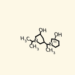 CC(C)N1CC(O)CC(C(C)N2CCC[C@H](O)C2)C1